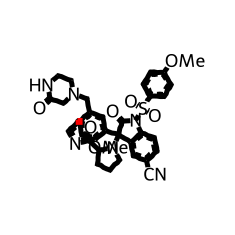 COc1ccc(S(=O)(=O)N2C(=O)C(c3cc(CN4CCNC(=O)C4)ccc3OC)(N3CCCC3c3ncco3)c3cc(C#N)ccc32)cc1